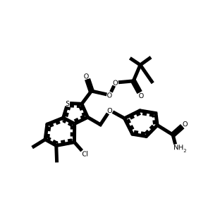 Cc1cc2sc(C(=O)OOC(=O)C(C)(C)C)c(COc3ccc(C(N)=O)cc3)c2c(Cl)c1C